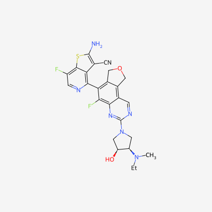 CCN(C)[C@@H]1CN(c2ncc3c4c(c(-c5ncc(F)c6sc(N)c(C#N)c56)c(F)c3n2)COC4)C[C@@H]1O